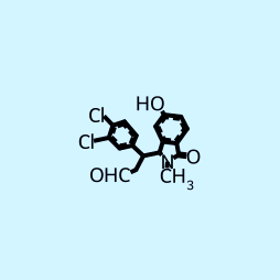 CN1C(=O)c2ccc(O)cc2C1C(CC=O)c1ccc(Cl)c(Cl)c1